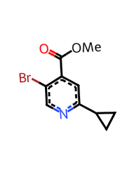 COC(=O)c1cc(C2CC2)ncc1Br